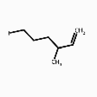 C=CC(C)CCCI